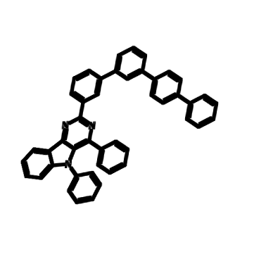 c1ccc(-c2ccc(-c3cccc(-c4cccc(-c5nc(-c6ccccc6)c6c(n5)c5ccccc5n6-c5ccccc5)c4)c3)cc2)cc1